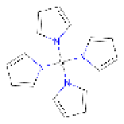 c1ccn([Si](n2cccc2)(n2cccc2)n2cccc2)c1